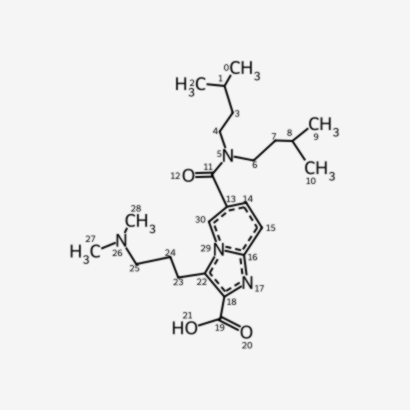 CC(C)CCN(CCC(C)C)C(=O)c1ccc2nc(C(=O)O)c(CCCN(C)C)n2c1